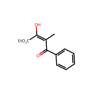 CCOC(=O)/C(O)=C(/C)C(=O)c1ccccc1